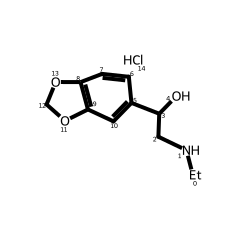 CCNCC(O)c1ccc2c(c1)OCO2.Cl